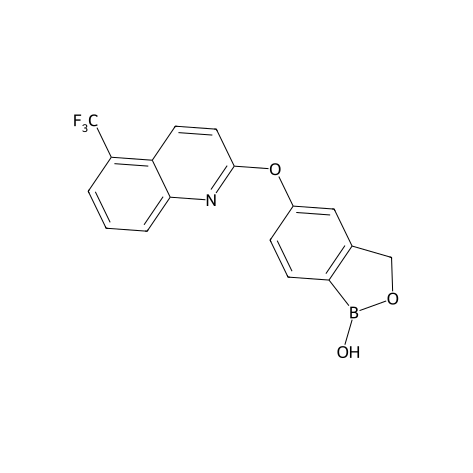 OB1OCc2cc(Oc3ccc4c(C(F)(F)F)cccc4n3)ccc21